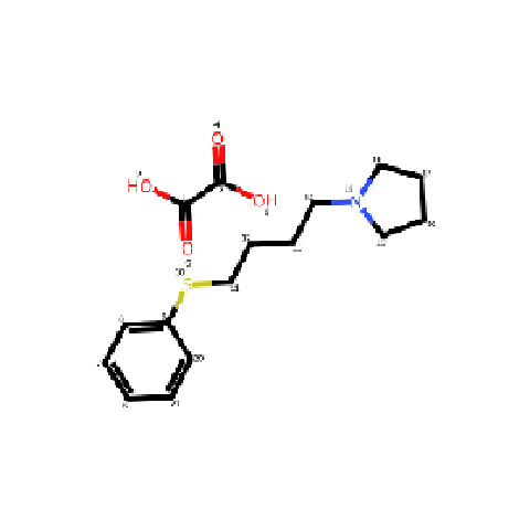 O=C(O)C(=O)O.c1ccc(SCCCCN2CCCC2)cc1